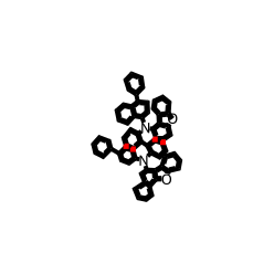 c1ccc(-c2ccc(N(c3ccccc3-c3ccccc3N(c3ccc(-c4ccccc4)c4ccccc34)c3cccc4oc5ccccc5c34)c3cc4ccccc4c4oc5ccccc5c34)cc2)cc1